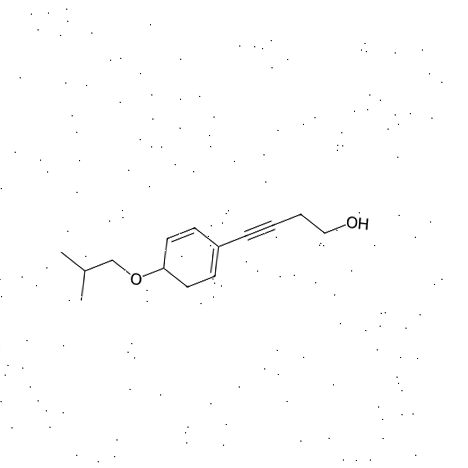 CC(C)COC1C=CC(C#CCCO)=CC1